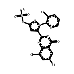 CS(=O)(=O)Oc1cc(-c2nc3c(Cl)cc(Cl)cc3c(=O)o2)n(-c2ncccc2Cl)n1